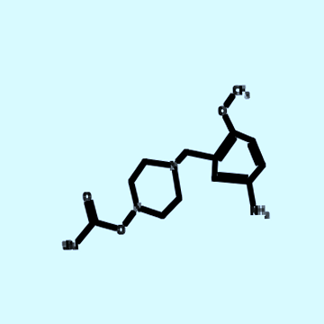 CC(C)(C)C(=O)ON1CCN(Cc2cc(N)ccc2OC(F)(F)F)CC1